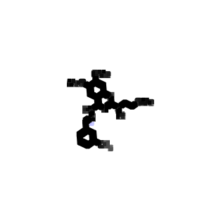 CCN(CCOC)c1nc(N/N=C/c2cccc(C)c2)c2cc(OC)c(OC)cc2n1